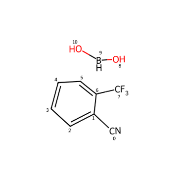 N#Cc1ccccc1C(F)(F)F.OBO